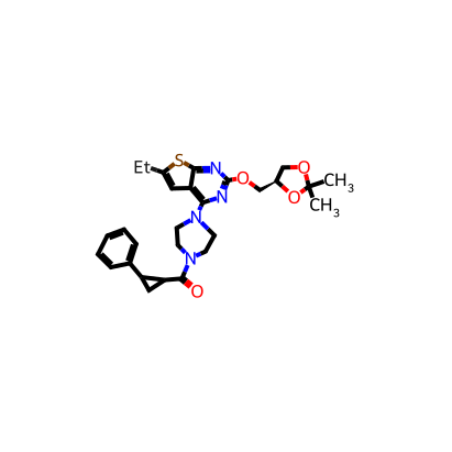 CCc1cc2c(N3CCN(C(=O)C4CC4c4ccccc4)CC3)nc(OC[C@H]3COC(C)(C)O3)nc2s1